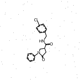 O=C(NCc1ccc(Cl)cc1)C1CC(=O)N(c2ccccc2)C1